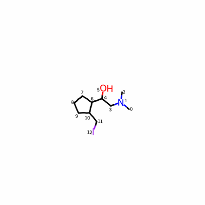 CN(C)CC(O)C1CCCC1CI